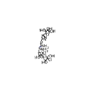 N/C(=C\N(N)C[C@@H]1C[C@H](O)[C@](CCl)(OC2C[C@@H](O)[C@@H](Cl)[C@@H](CO)O2)O1)COCc1cn(C[C@H]2OC[C@@H](O)[C@@H](O)[C@@H]2O)nn1